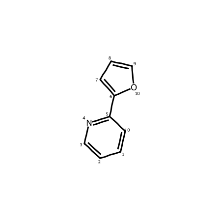 [c]1cccnc1-c1ccco1